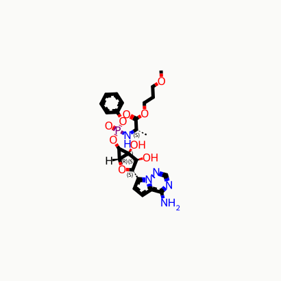 COCCCOC(=O)[C@H](C)NP(=O)(Oc1ccccc1)OC1[C@H]2O[C@@H](c3ccc4c(N)ncnn34)[C@H](O)[C@@]12O